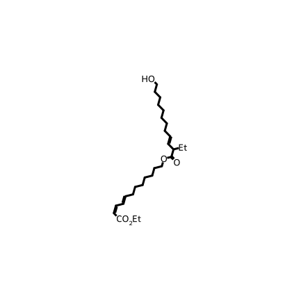 CCOC(=O)/C=C\C=CCCCCCCCOC(=O)C(C=CCCCCCCCCO)CC